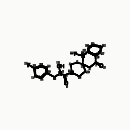 O=C1CC2(CCN(C(=O)N(O)Cc3ccc(F)cc3)CC2)N(F)c2ccccc21